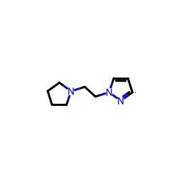 [c]1ccn(CCN2CCCC2)n1